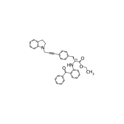 CCOC(=O)[C@H](Cc1ccc(C#CCN2CCc3ccccc32)cc1)Nc1ccccc1C(=O)c1ccccc1